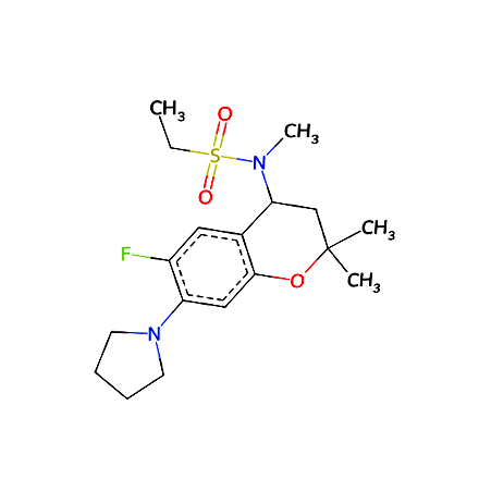 CCS(=O)(=O)N(C)C1CC(C)(C)Oc2cc(N3CCCC3)c(F)cc21